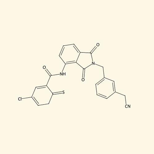 N#CCc1cccc(CN2C(=O)c3cccc(NC(=O)C4=CC(Cl)=CCC4=S)c3C2=O)c1